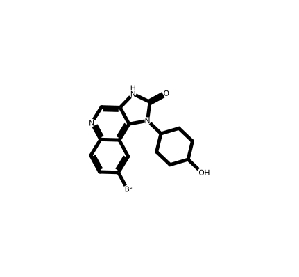 O=c1[nH]c2cnc3ccc(Br)cc3c2n1C1CCC(O)CC1